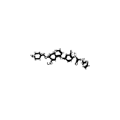 [C-]#[N+]c1cc2c(Oc3ccc(NC(=O)Nc4nccs4)c(F)c3)ccnc2cc1OCC1CCN(C)CC1